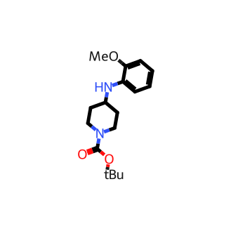 COc1ccccc1NC1CCN(C(=O)OC(C)(C)C)CC1